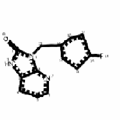 O=c1[nH]c2cccnc2n1Cc1ccc(F)cc1